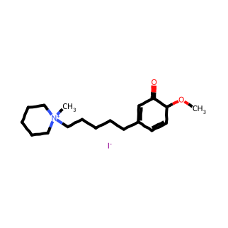 COC1C=CC(CCCCC[N+]2(C)CCCCC2)=CC1=O.[I-]